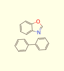 c1ccc(-c2ccccc2)cc1.c1ccc2ocnc2c1